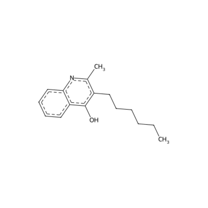 CCCCCCc1c(C)nc2ccccc2c1O